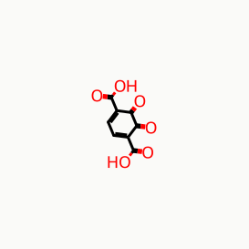 O=C(O)C1=CC=C(C(=O)O)C(=O)C1=O